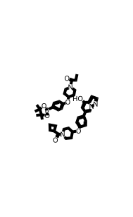 CCC(=O)N1CCC(Oc2ccc(B3OC(C)(C)C(C)(C)O3)cc2)CC1.O=C(C1CCC1)N1CCC(Oc2ccc(-c3cc(O)c4ccnn4c3)cc2)CC1